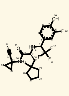 CC1(C[C@H](N[C@@H](c2ccc(O)c(F)c2)C(F)(F)F)C(=O)NC2(C#N)CC2)CCCC1